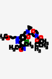 COCCCn1nc(-c2c(C)noc2C)c2c(Cl)cc(CN(C(=O)[C@H]3CN(C(=O)OC(C)(C)C)CCO3)C3CC3)cc21